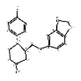 CCCN1CC[C@H](c2ccc(F)cc2)[C@@H](COc2ccc3c(c2)OCO3)C1